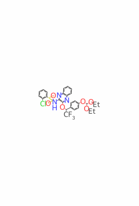 CCOC(OCC)Oc1ccc(C(Oc2nc3ccccc3nc2NS(=O)(=O)c2ccccc2Cl)C(F)(F)F)cc1